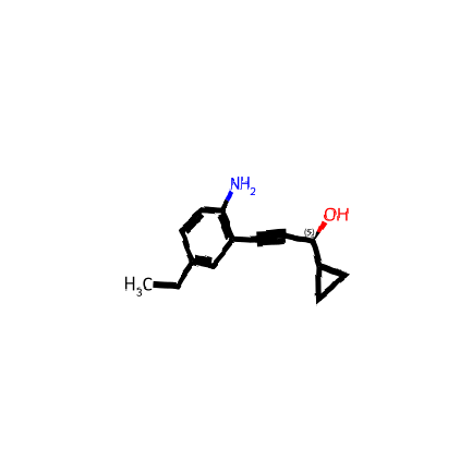 CCc1ccc(N)c(C#C[C@@H](O)C2CC2)c1